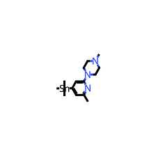 Cc1c[c]([Sn]([CH3])([CH3])[CH3])cc(N2CCN(C)CC2)n1